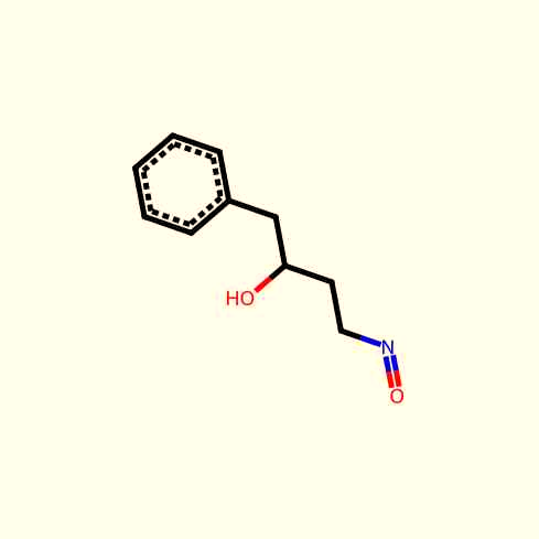 O=NCCC(O)Cc1ccccc1